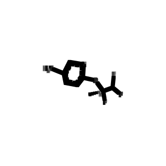 C[C@](F)(Oc1ccc(N)cn1)C(F)F